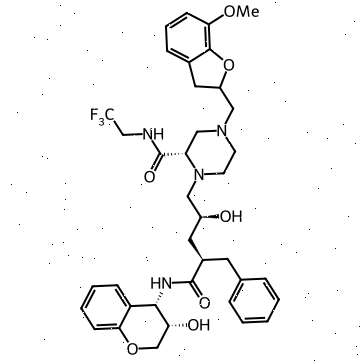 COc1cccc2c1OC(CN1CCN(C[C@@H](O)C[C@@H](Cc3ccccc3)C(=O)N[C@H]3c4ccccc4OC[C@H]3O)[C@H](C(=O)NCC(F)(F)F)C1)C2